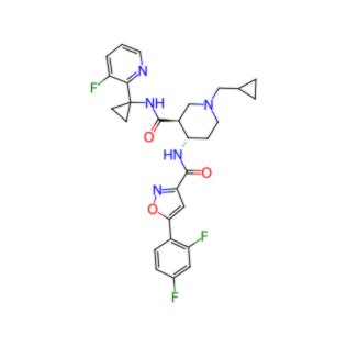 O=C(N[C@H]1CCN(CC2CC2)C[C@@H]1C(=O)NC1(c2ncccc2F)CC1)c1cc(-c2ccc(F)cc2F)on1